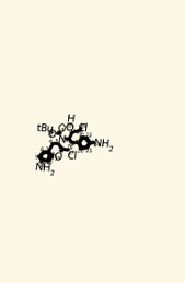 CC(C)(C)OC(=O)N(C(Cc1ccc(N)cc1)C(O)CCl)C(Cc1ccc(N)cc1)C(O)CCl